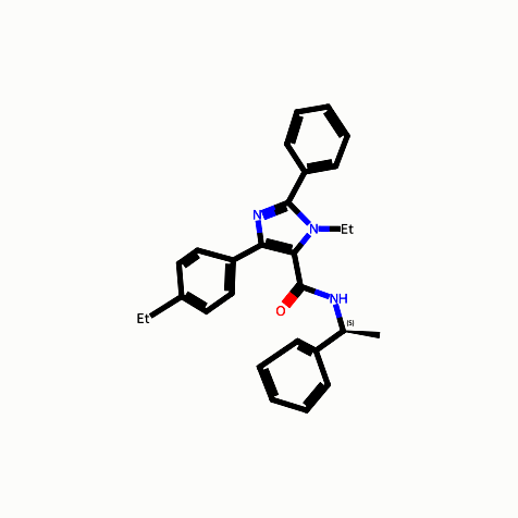 CCc1ccc(-c2nc(-c3ccccc3)n(CC)c2C(=O)N[C@@H](C)c2ccccc2)cc1